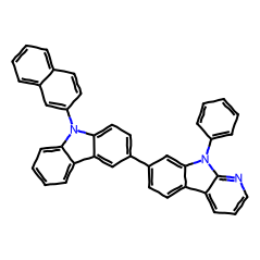 c1ccc(-n2c3cc(-c4ccc5c(c4)c4ccccc4n5-c4ccc5ccccc5c4)ccc3c3cccnc32)cc1